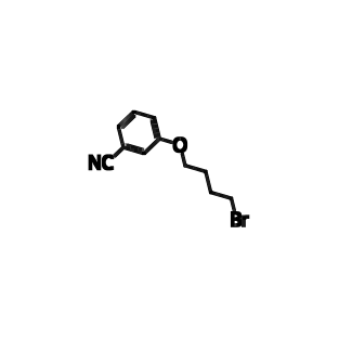 N#Cc1cccc(OCCCCBr)c1